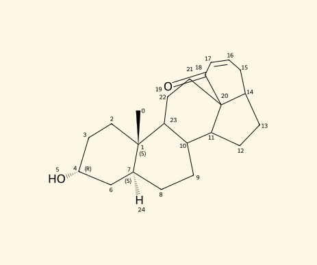 C[C@]12CC[C@@H](O)C[C@@H]1CCC1C3CCC4CC=CC(=O)C43CCC12